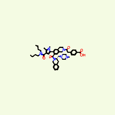 CCCCN(CCCC)C(=O)c1cc(-c2cc3c(cc2C(=O)N2Cc4ccccc4C[C@H]2CN2CCN(C)CC2)CN(C(=O)Cc2ccc(C(=O)O)cc2)CC3)n(C)c1C